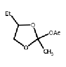 CCC1COC(C)(OC(C)=O)O1